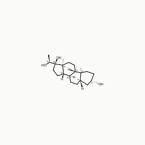 C[C@H](O)[C@@]1(O)CC[C@H]2[C@@H]3CC[C@H]4C[C@@H](O)CC[C@]4(C)[C@H]3CC[C@@]21C